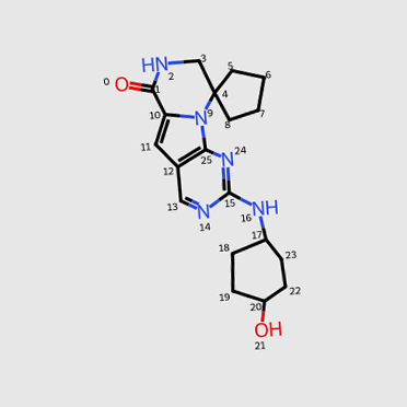 O=C1NCC2(CCCC2)n2c1cc1cnc(NC3CCC(O)CC3)nc12